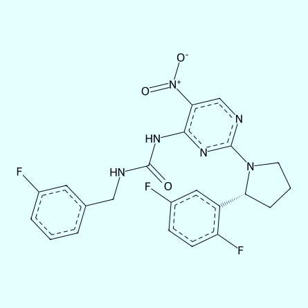 O=C(NCc1cccc(F)c1)Nc1nc(N2CCC[C@@H]2c2cc(F)ccc2F)ncc1[N+](=O)[O-]